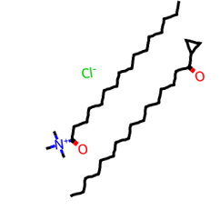 CCCCCCCCCCCCCCCC(=O)C1CC1.CCCCCCCCCCCCCCCC(=O)[N+](C)(C)C.[Cl-]